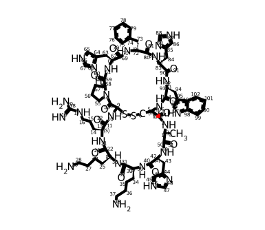 C[C@@H]1NC(=O)[C@@H]2CSSC(NC(=O)[C@H](CCCNC(=N)N)NC(=O)[C@H](CCCCN)NC(=O)[C@H](CCCCN)NC(=O)[C@H](Cc3c[nH]cn3)NC1=O)C(=O)N1CCC[C@H]1C(=O)N[C@@H](Cc1c[nH]cn1)C(=O)N[C@H](Cc1ccccc1)C(=O)N[C@@H](Cc1c[nH]cn1)C(=O)N[C@@H](Cc1c[nH]c3ccccc13)C(=O)N2